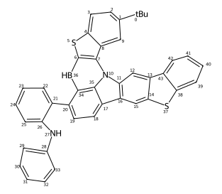 CC(C)(C)c1ccc2sc3c(c2c1)-n1c2cc4c(cc2c2ccc(-c5ccccc5Nc5ccccc5)c(c21)B3)sc1ccccc14